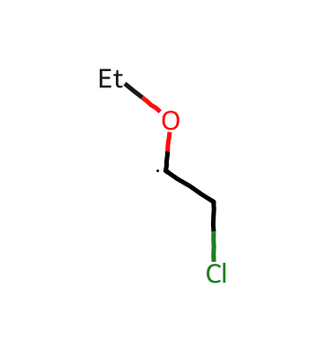 CCO[CH]CCl